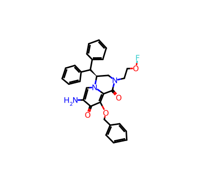 Nc1cn2c(c(OCc3ccccc3)c1=O)C(=O)N(CCOF)C[C@@H]2C(c1ccccc1)c1ccccc1